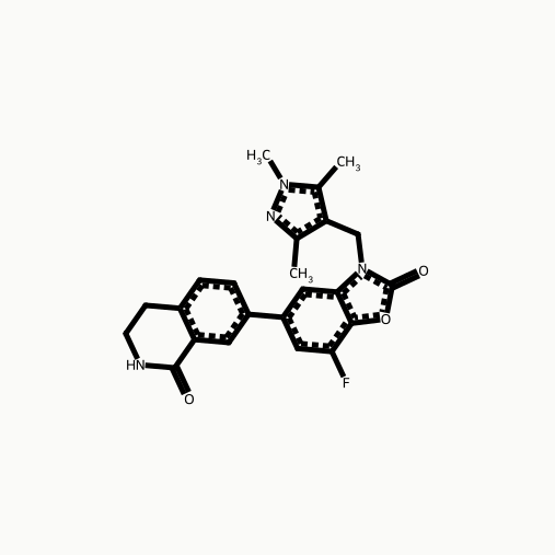 Cc1nn(C)c(C)c1Cn1c(=O)oc2c(F)cc(-c3ccc4c(c3)C(=O)NCC4)cc21